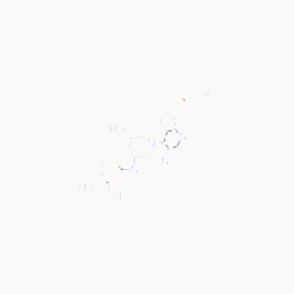 CC(=O)OC1CCc2c1ncc(N)c2N1CC(C)CC(NC(=O)OC(C)(C)C)C1